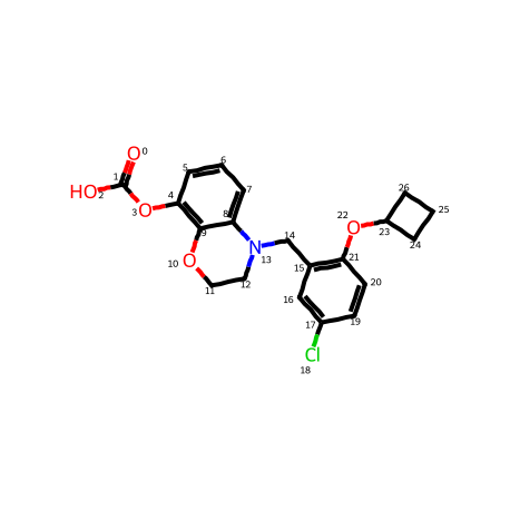 O=C(O)Oc1cccc2c1OCCN2Cc1cc(Cl)ccc1OC1CCC1